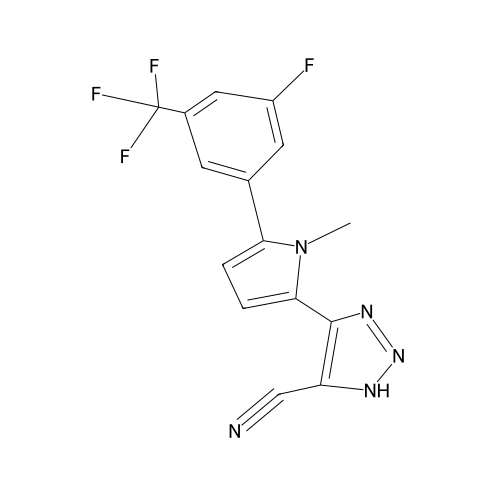 Cn1c(-c2cc(F)cc(C(F)(F)F)c2)ccc1-c1nn[nH]c1C#N